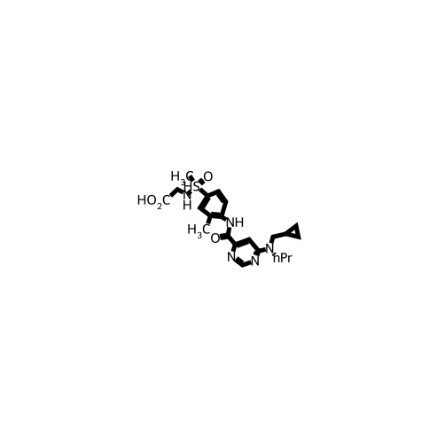 CCCN(CC1CC1)c1cc(C(=O)Nc2ccc([SH](C)(=O)NCC(=O)O)cc2C)ncn1